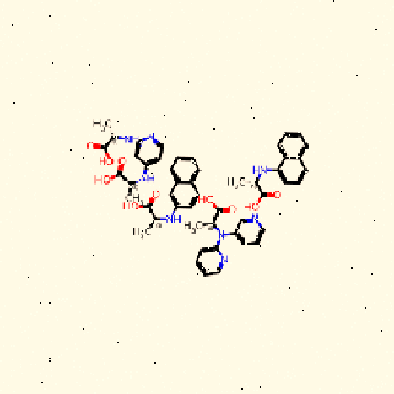 C[C@@H](C(=O)O)N(c1cccnc1)c1ccccn1.C[C@H](N)C(=O)O.C[C@H](Nc1ccc2ccccc2c1)C(=O)O.C[C@H](Nc1cccc2ccccc12)C(=O)O.C[C@H](Nc1ccncc1)C(=O)O